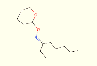 CCCCCC(CC)=NOC1CCCCO1